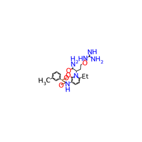 CCc1ccc(NS(=O)(=O)c2cccc(C)c2)c(=O)n1C(CCONC(=N)N)C(N)=O